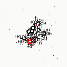 C=C(C)[C@]1(OC2OC(CO)C(O)C(OC3OC(CO)C(O)C(O)C3O)C2OC2OC(CO)C(O)C(O)C2O)CC[C@@H]2[C@@](C)(CC[C@H]3[C@@]2(C)CCC[C@@]3(C)C(=O)OC2OC(CO)C(O)C(OC3OC(CO)C(O)C(O)C3O)C2OC2OC(C)C(O)C(OC3OC(CO)C(O)C(O)C3O)C2O)C1